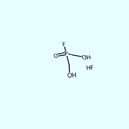 F.O=P(O)(O)F